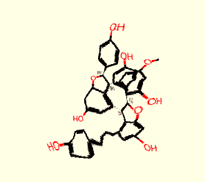 COc1cc(O)cc([C@@H]2C3=C([C@H]4c5c(CCc6ccc(O)cc6)cc(O)cc5O[C@@H]4c4ccc(O)cc4)C=C(O)CC3O[C@H]2c2ccc(O)cc2)c1